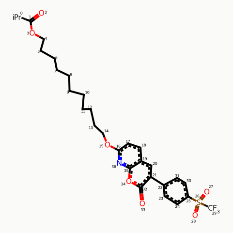 CC(C)C(=O)OCCCCCCCCCCCOc1ccc2cc(-c3ccc(S(=O)(=O)C(F)(F)F)cc3)c(=O)oc2n1